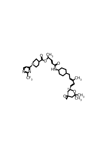 CC(C=C[C@@H]1C[C@]2(CO2)CC(C)(C)O1)=CCC1CCC(NC(=O)C=CC(C)OC(=O)C2CCN(c3ccnc(C(F)(F)F)n3)CC2)CC1